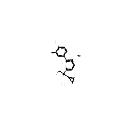 COc1ccc(C(O)(CN)C2CC2)nc1-c1ccc(F)c(Cl)c1